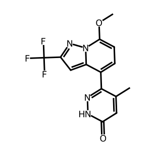 COc1ccc(-c2n[nH]c(=O)cc2C)c2cc(C(F)(F)F)nn12